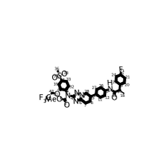 [CH2]OC(=O)N(c1nc2ccc(-c3ccc(NC(=O)[C@H](C)c4ccc(F)cc4)cc3)cn2n1)c1ccc(S(C)(=O)=O)cc1OCC(F)(F)F